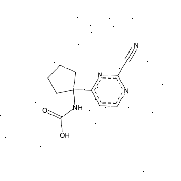 N#Cc1nccc(C2(NC(=O)O)CCCC2)n1